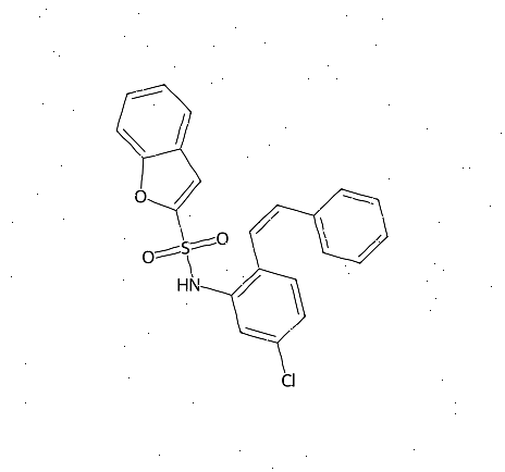 O=S(=O)(Nc1cc(Cl)ccc1/C=C\c1ccccc1)c1cc2ccccc2o1